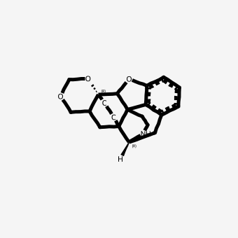 c1cc2c3c(c1)OC1C34CCN[C@H](C2)C42CC[C@]13OCOCC3C2